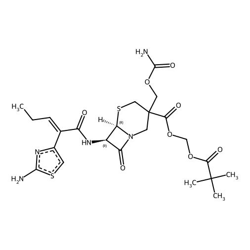 CCC=C(C(=O)N[C@@H]1C(=O)N2CC(COC(N)=O)(C(=O)OCOC(=O)C(C)(C)C)CS[C@H]12)c1csc(N)n1